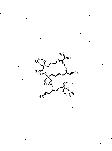 C=C(C)C(=O)OCCC[Si](OC)(OC)OC.C=CC(=O)OCCC[Si](OC)(OC)OC.C=CCCCC[Si](OC)(OC)OC